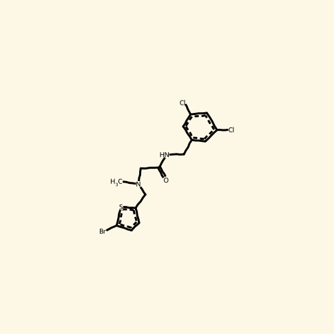 CN(CC(=O)NCc1cc(Cl)cc(Cl)c1)Cc1ccc(Br)s1